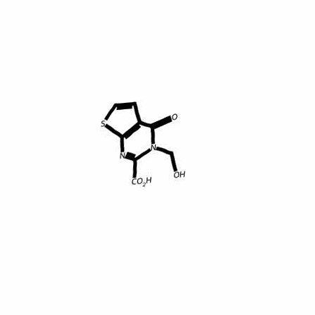 O=C(O)c1nc2sccc2c(=O)n1CO